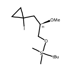 CO[C@@H](CO[Si](C)(C)C(C)(C)C)CC1(I)CC1